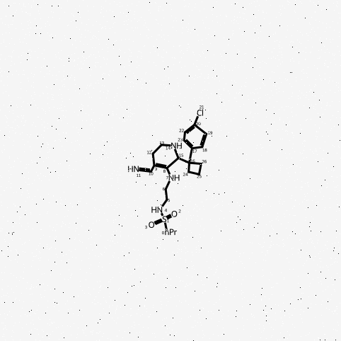 CCCS(=O)(=O)NCCNC1=C(C=N)CCNC1C1(c2ccc(Cl)cc2)CCC1